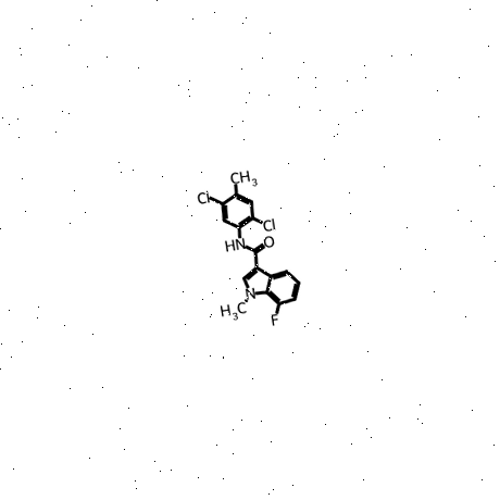 Cc1cc(Cl)c(NC(=O)c2cn(C)c3c(F)cccc23)cc1Cl